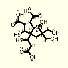 O=C(O)CC(S)C(CC(CO)(CO)CO)(C(S)CC(=O)O)C(S)CC(=O)O